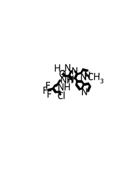 Cn1ccc(-c2nc(N)c(C(=O)NCC3=CC(C(F)(F)F)=CC(Cl)N3)nc2-c2ccc3ncccc3c2)n1